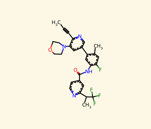 CC#Cc1ncc(-c2cc(NC(=O)c3ccnc(C(C)C(F)(F)F)c3)c(F)cc2C)cc1N1CCOCC1